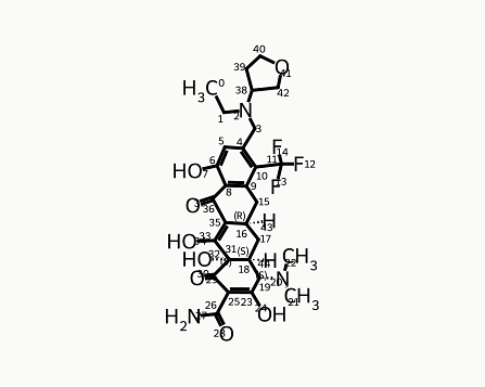 CCN(Cc1cc(O)c2c(c1C(F)(F)F)C[C@H]1C[C@H]3[C@H](N(C)C)C(O)=C(C(N)=O)C(=O)[C@@]3(O)C(O)=C1C2=O)C1CCOC1